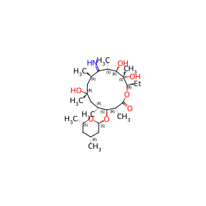 CC[C@H]1OC(=O)[C@H](C)[C@@H](O[C@H]2C[C@H](C)C[C@H](C)O2)[C@H](C)C[C@](C)(O)C[C@@H](C)C(=N)[C@H](C)[C@@H](O)[C@]1(C)O